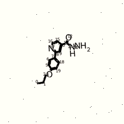 CCCOc1ccc(-c2cc(C(=O)NN)ccn2)cc1